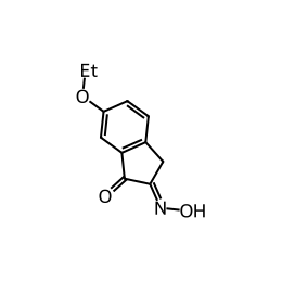 CCOc1ccc2c(c1)C(=O)/C(=N/O)C2